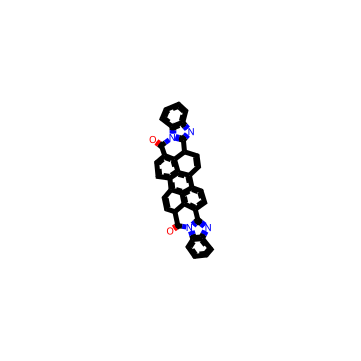 O=C1C2C=Cc3c4ccc5c6c4c(c4ccc(c2c34)-c2nc3ccccc3n21)C=CC6c1nc2ccccc2n1C5=O